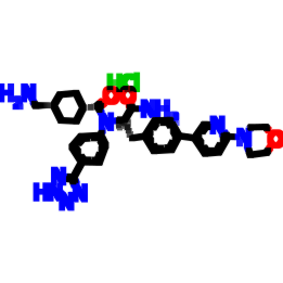 Cl.NC[C@H]1CC[C@H](C(=O)N(c2ccc(-c3nn[nH]n3)cc2)[C@@H](Cc2ccc(-c3ccc(N4CCOCC4)nc3)cc2)C(N)=O)CC1